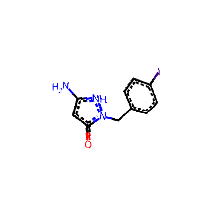 Nc1cc(=O)n(Cc2ccc(I)cc2)[nH]1